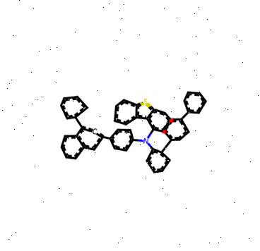 c1ccc(-c2ccc(-c3ccccc3N(c3ccc(-c4cc(-c5ccccc5)c5ccccc5c4)cc3)c3cccc4sc5ccccc5c34)cc2)cc1